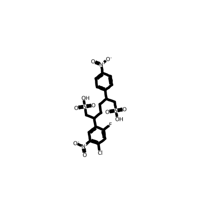 O=[N+]([O-])c1ccc(C(CCC(CS(=O)(=O)O)c2cc([N+](=O)[O-])c(Cl)cc2F)CS(=O)(=O)O)cc1